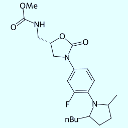 CCCCC1CCC(C)N1c1ccc(N2C[C@H](CNC(=O)OC)OC2=O)cc1F